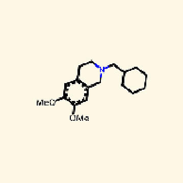 COc1cc2c(cc1OC)CN(CC1CCCCC1)CC2